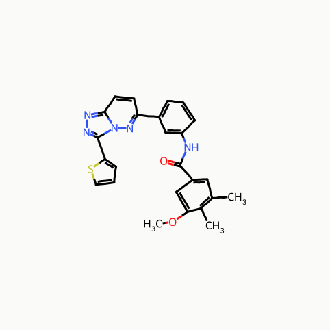 COc1cc(C(=O)Nc2cccc(-c3ccc4nnc(-c5cccs5)n4n3)c2)cc(C)c1C